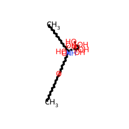 CCCCCCCCCCCCCCCOCCCCCCCCCC(=O)N[C@@H](CC[C@@H]1O[C@H](CO)[C@H](O)[C@H](O)[C@H]1O)[C@H](O)[C@H](O)CCCCCCCCCCCCCC